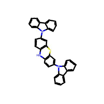 c1ccc2c(c1)c1ccccc1n2-c1ccc2c(c1)Sc1cc(-n3c4ccccc4c4ccccc43)ccc1N2